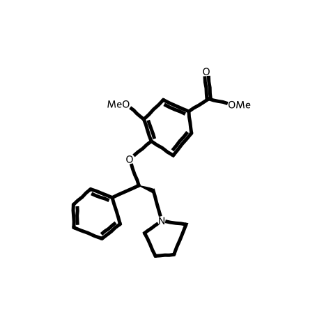 COC(=O)c1ccc(O[C@@H](CN2CCCC2)c2ccccc2)c(OC)c1